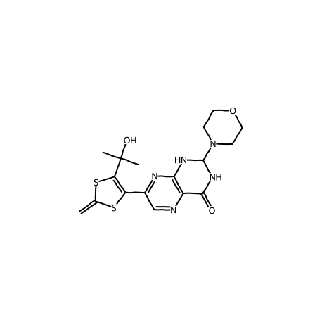 C=C1SC(c2cnc3c(n2)NC(N2CCOCC2)NC3=O)=C(C(C)(C)O)S1